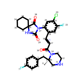 C[C@@]1(Cc2ccc(F)cc2)CNCCN1C(=O)/C=C/c1cc(F)c(Cl)cc1N1C(=O)NC2(CCCCC2)C1=O